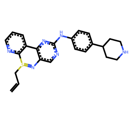 C=CCS1=Nc2cnc(Nc3ccc(C4CCNCC4)cc3)nc2-c2cccnc21